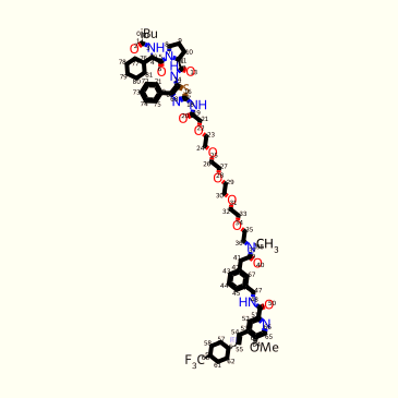 CC[C@@H](C)C(=O)N[C@H](C(=O)N1CCC[C@H]1C(=O)Nc1sc(NC(=O)COCCOCCOCCOCCOCCN(C)C(=O)Cc2cccc(CNC(=O)c3cc(/C=C/[C@H]4CC[C@H](C(F)(F)F)CC4)c(OC)cn3)c2)nc1-c1ccccc1)C1CCCCC1